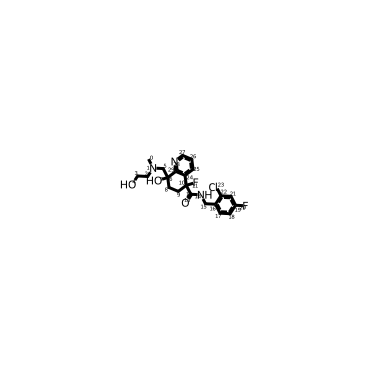 CN(CCO)CC1(O)CCC(F)(C(=O)NCc2ccc(F)cc2Cl)c2cccnc21